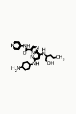 CCCC(CO)Nc1cc(NC2CCC(N)CC2)nn2c(C(=O)Nc3ccncc3)cnc12